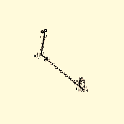 O=C(CCOCCOCCOCCOCCOCCOCCOCCOCCOCCOCCOCCOCCN(C[C@H](O)[C@@H](O)[C@H](O)[C@H](O)CO)C[C@H](O)[C@@H](O)[C@H](O)[C@H](O)CO)NCCCC[C@H](NC(=O)CCOCCOCCOCCOCCNC(=O)OCC1c2ccccc2-c2ccccc21)C(=O)O